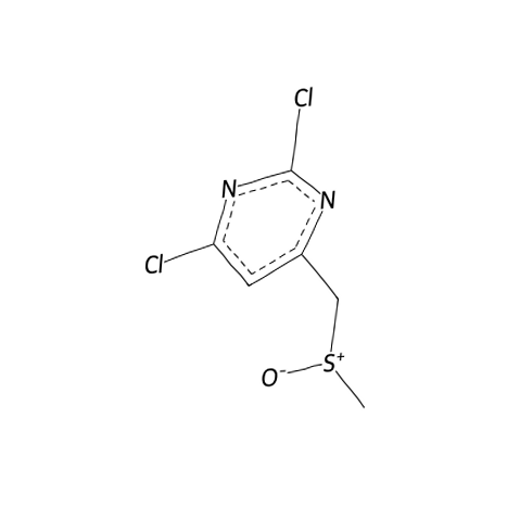 C[S+]([O-])Cc1cc(Cl)nc(Cl)n1